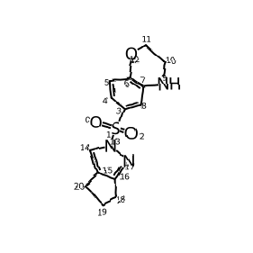 O=S(=O)(c1ccc2c(c1)NCCO2)n1cc2c(n1)CCC2